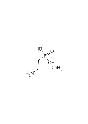 NCCP(=O)(O)O.[CaH2]